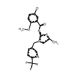 COc1ccc(Cl)cc1C(=O)/N=c1\sc(C)cn1Cc1ccc(C(F)(F)F)nc1